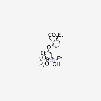 CCOC(=O)Cc1ccccc1OC(=C/C(B1OC(C)(C)C(C)(C)O1)=C(/O)CC)CC